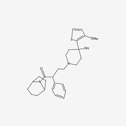 COc1ccsc1C1(O)CCN(CCC(C(=O)N2C3CCCC2CC3)c2ccccc2)CC1